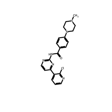 CN1CCN(c2ccc(C(=O)Nc3nccc(-c4cccnc4Cl)n3)cc2)CC1